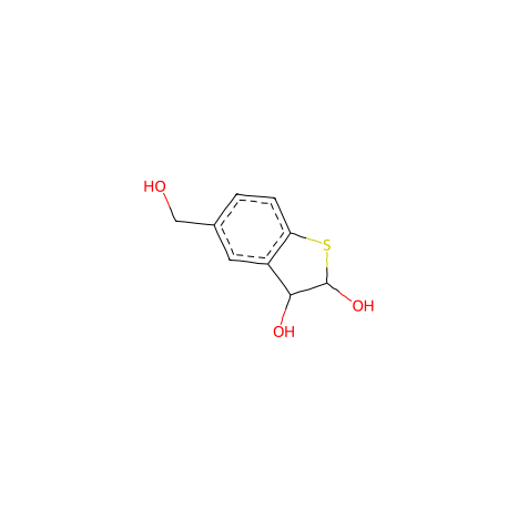 OCc1ccc2c(c1)C(O)C(O)S2